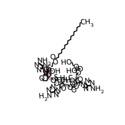 CCCCCCCCCCCCCCCCCC(=O)OCCSP(=O)(O)O[C@@H]1C2OCC[C@]1(COP(O)(=S)OC1[C@@H](O)[C@@H](COP(=O)(O)OC3[C@@H](OC)[C@@H](COP(=O)(O)OCCO)O[C@H]3n3cnc4c(N)ncnc43)O[C@H]1n1cnc3c(N)ncnc31)O[C@H]2n1cnc2c(N)ncnc21